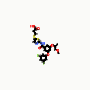 COC[C@H](C)Oc1cc(Oc2cc(F)cc(F)c2)cc(C(=O)Nc2ncc(SCCC(=O)O)s2)c1